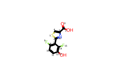 O=C(O)c1csc(-c2c(F)ccc(O)c2F)n1